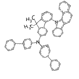 CC1(C)c2cc(N(c3ccc(-c4ccccc4)cc3)c3ccc(-c4ccccc4)cc3)ccc2-c2c(-n3c4ccccc4c4ccc5ccccc5c43)cccc21